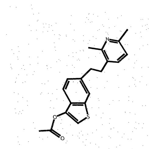 CC(=O)Oc1csc2cc(CCc3ccc(C)nc3C)ccc12